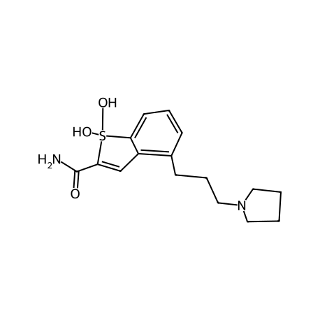 NC(=O)C1=Cc2c(CCCN3CCCC3)cccc2S1(O)O